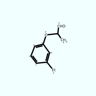 CCc1cccc(OC(C)[C]=O)c1